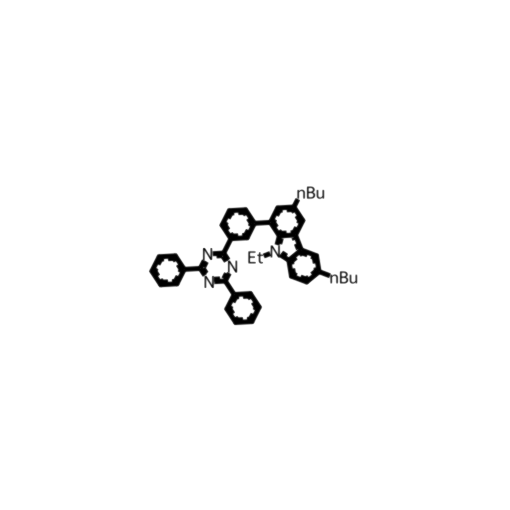 CCCCc1ccc2c(c1)c1cc(CCCC)cc(-c3cccc(-c4nc(-c5ccccc5)nc(-c5ccccc5)n4)c3)c1n2CC